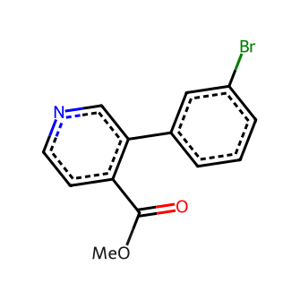 COC(=O)c1ccncc1-c1cccc(Br)c1